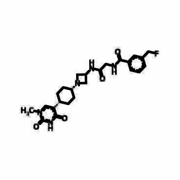 Cn1cc([C@H]2CC[C@@H](N3CC(NC(=O)CNC(=O)c4cccc(CF)c4)C3)CC2)c(=O)[nH]c1=O